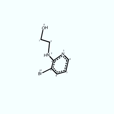 OCCNc1ncccc1Br